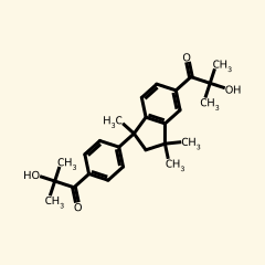 CC(C)(O)C(=O)c1ccc(C2(C)CC(C)(C)c3cc(C(=O)C(C)(C)O)ccc32)cc1